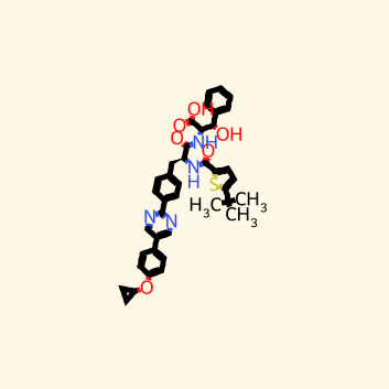 CC(C)(C)c1ccc(C(=O)N[C@@H](Cc2ccc(-c3ncc(-c4ccc(OC5CC5)cc4)cn3)cc2)C(=O)NC(C(=O)O)C(O)c2ccccc2)s1